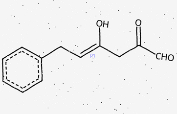 O=CC(=O)C/C(O)=C/Cc1ccccc1